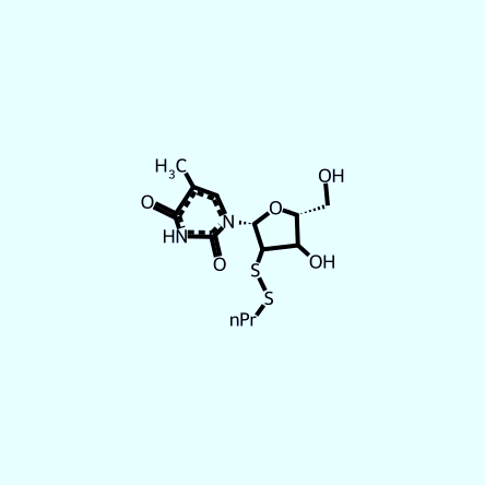 CCCSSC1C(O)[C@@H](CO)O[C@H]1n1cc(C)c(=O)[nH]c1=O